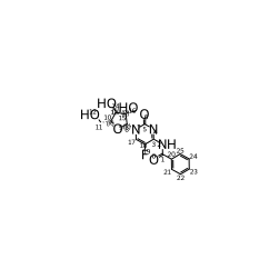 O=C(Nc1nc(=O)n([C@@H]2O[C@H](CO)[C@@H](O)[C@H]2O)cc1F)c1ccccc1